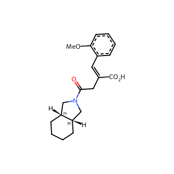 COc1ccccc1C=C(CC(=O)N1C[C@H]2CCCC[C@H]2C1)C(=O)O